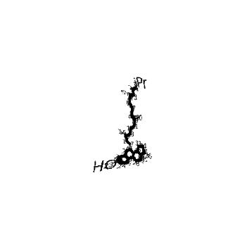 CC(C)CCC[C@@H](C)CCC[C@@H](C)CCC[C@H](C)CC[C@@H]1Cc2cc(O)ccc2C2CC[C@@]3(C)C(CC[C@@H]3C)C21